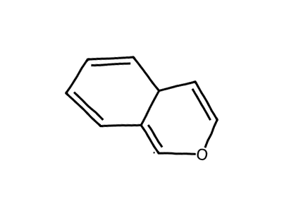 [C]1=C2C=CC=CC2C=CO1